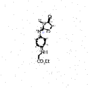 CCOC(=O)CNc1ccc(/N=C2\SCC(=O)N2C)cc1